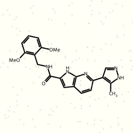 COc1cccc(OC)c1CNC(=O)c1cc2ccc(-c3cn[nH]c3C)nc2[nH]1